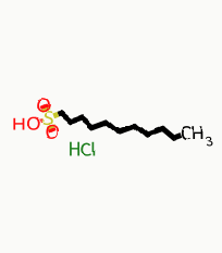 CCCCCCCCCCCS(=O)(=O)O.Cl